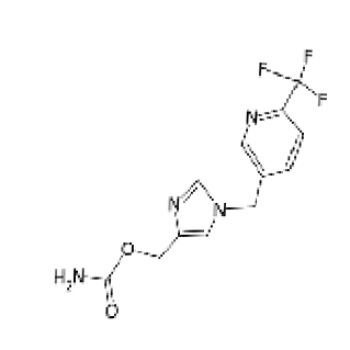 NC(=O)OCc1cn(Cc2ccc(C(F)(F)F)nc2)cn1